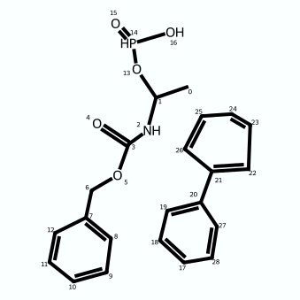 CC(NC(=O)OCc1ccccc1)O[PH](=O)O.c1ccc(-c2ccccc2)cc1